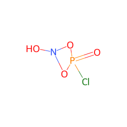 O=P1(Cl)ON(O)O1